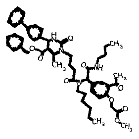 CCCCCCN(C(=O)CCCN1C(=O)NC(c2ccc(-c3ccccc3)cc2)C(C(=O)OCc2ccccc2)=C1C)C(C(=O)NCCCC)c1ccc(OCC(=O)OC)c(C(C)=O)c1